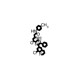 Cc1ccc(NC(=O)Cc2cc(=O)c3nc(-c4cc(Cl)c5ncccc5c4)c(-c4ccccc4)nc3[nH]2)cc1